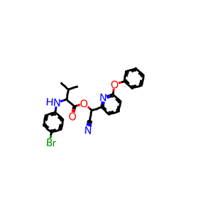 CC(C)C(Nc1ccc(Br)cc1)C(=O)OC(C#N)c1cccc(Oc2ccccc2)n1